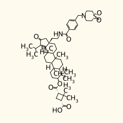 CC(C)C1=C2[C@H]3CC[C@@H]4[C@@]5(C)CC[C@H](OC(=O)[C@H]6C[C@@H](C(=O)O)C6(C)C)C(C)(C)[C@@H]5CC[C@@]4(C)[C@]3(C)CC[C@@]2(CCNC(=O)c2ccc(CN3CCS(=O)(=O)CC3)cc2)CC1=O